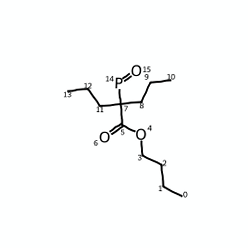 CCCCOC(=O)C(CCC)(CCC)P=O